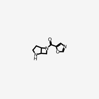 O=C(c1cnco1)N1CC2NCCC21